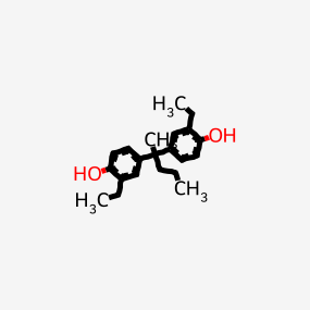 CCCC(C)(c1ccc(O)c(CC)c1)c1ccc(O)c(CC)c1